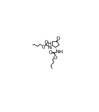 CCCCOC(=O)N[C@H]1CC(=O)C[C@H]1NC(=O)OCCCC